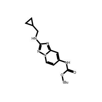 CC(C)(C)OC(=O)Nc1ccn2nc(NCC3CC3)nc2c1